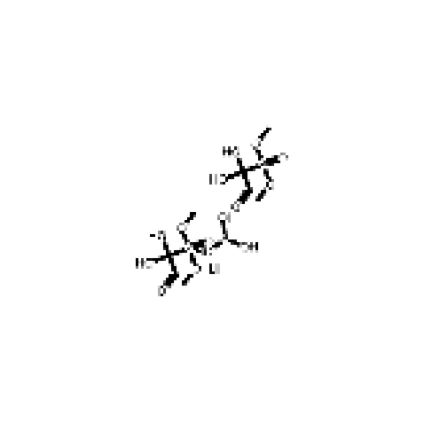 COP(=O)(OC)C(O)(O)C=O.COP(=O)(OC)C(O)(O)C=O.OB(O)O.[LiH]